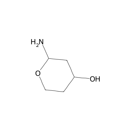 NC1CC(O)CCO1